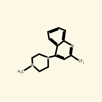 CN1CCN(c2cc(C(F)(F)F)nc3ccccc23)CC1